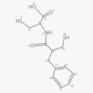 O=C(NC(CS)C(=O)O)C(CS)Cc1ccccc1